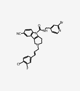 N#Cc1ccc2c(c1)c1c(n2C(=O)NCc2ccnc(Br)c2)CCN(C/C=C/c2ccc(Cl)c(F)c2)C1